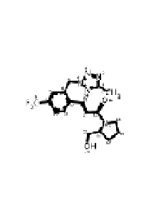 Cc1nnn(Cc2cc(C(F)(F)F)ccc2C=CC(=O)N2CCCC2CO)n1